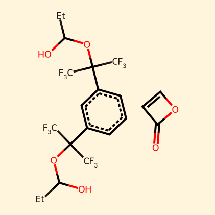 CCC(O)OC(c1cccc(C(OC(O)CC)(C(F)(F)F)C(F)(F)F)c1)(C(F)(F)F)C(F)(F)F.O=C1C=CO1